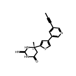 CC#Cc1cncc(-c2csc([C@]3(C)CC(=O)NC(=N)N3)c2)c1